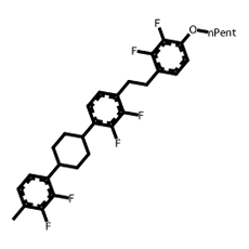 CCCCCOc1ccc(CCc2ccc(C3CCC(c4ccc(C)c(F)c4F)CC3)c(F)c2F)c(F)c1F